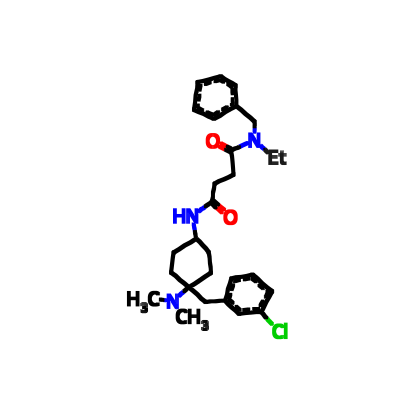 CCN(Cc1ccccc1)C(=O)CCC(=O)NC1CCC(Cc2cccc(Cl)c2)(N(C)C)CC1